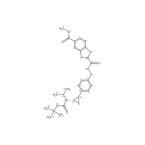 COC(=O)c1ccc2c(c1)CN(C(=O)OCc1ccc(C3C[C@@H]3N(C(=O)OC(C)(C)C)C(C)C)cc1)C2